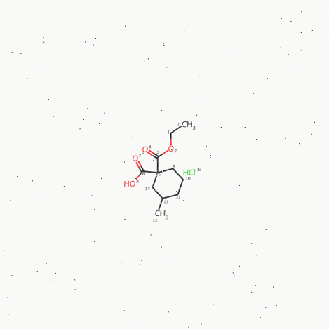 CCOC(=O)C1(C(=O)O)CCCC(C)C1.Cl